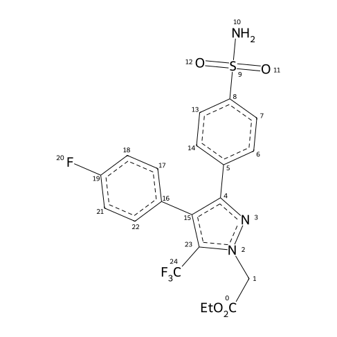 CCOC(=O)Cn1nc(-c2ccc(S(N)(=O)=O)cc2)c(-c2ccc(F)cc2)c1C(F)(F)F